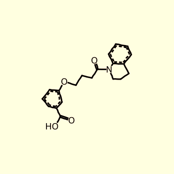 O=C(O)c1cccc(OCCCC(=O)N2CCCc3ccccc32)c1